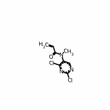 C=CC(=O)N(C)c1cnc(Cl)nc1Cl